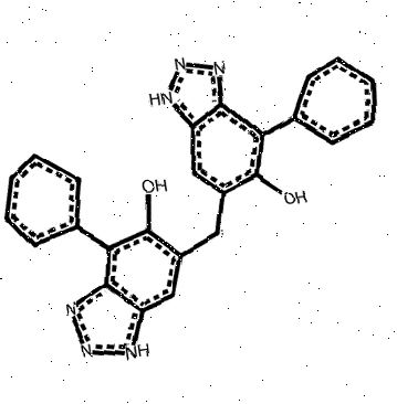 Oc1c([C]c2cc3[nH]nnc3c(-c3ccccc3)c2O)cc2[nH]nnc2c1-c1ccccc1